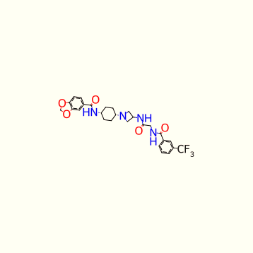 O=C(CNC(=O)c1cccc(C(F)(F)F)c1)NC1CN([C@H]2CC[C@@H](NC(=O)c3ccc4c(c3)OCO4)CC2)C1